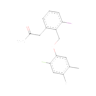 CCc1cc(F)c(OCc2c(I)cccc2CC(=O)NC)cc1C